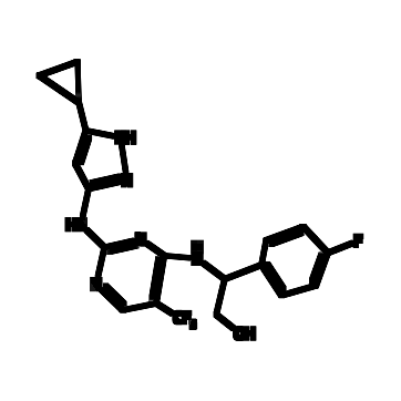 OCC(Nc1nc(Nc2cc(C3CC3)[nH]n2)ncc1C(F)(F)F)c1ccc(F)cc1